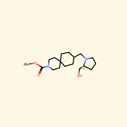 CC(C)(C)OC(=O)N1CCC2(CCC(CN3CCC[C@H]3CO)CC2)CC1